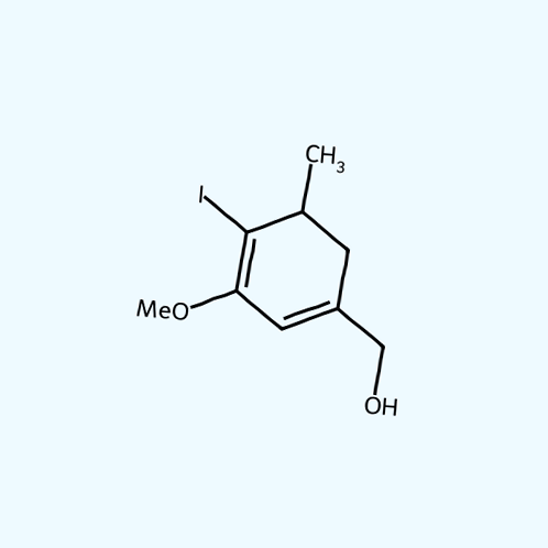 COC1=C(I)C(C)CC(CO)=C1